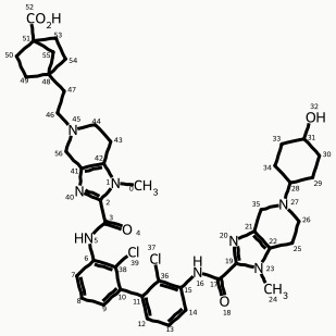 Cn1c(C(=O)Nc2cccc(-c3cccc(NC(=O)c4nc5c(n4C)CCN(C4CCC(O)CC4)C5)c3Cl)c2Cl)nc2c1CCN(CCC13CCC(C(=O)O)(CC1)C3)C2